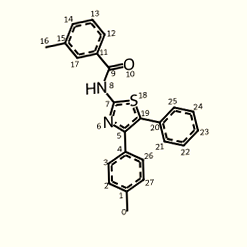 Cc1ccc(-c2nc(NC(=O)c3cccc(C)c3)sc2-c2ccccc2)cc1